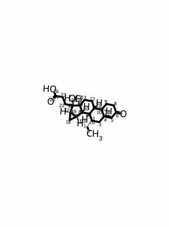 CC[C@H]1CC2=CC(=O)CC[C@@H]2[C@H]2CC[C@@]3(C)[C@@H]([C@H]4C[C@H]4[C@@]3(O)CCC(=O)O)[C@H]12